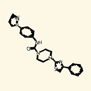 O=C(Nc1ccc(-n2cccn2)cc1)N1CCN(c2nc(-c3ccccc3)cs2)CC1